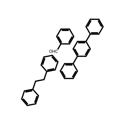 O=Cc1ccccc1.c1ccc(-c2ccc(-c3ccccc3)cc2)cc1.c1ccc(CCc2ccccc2)cc1